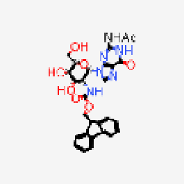 CC(=O)Nc1nc2c(ncn2[C@@H]2O[C@H](CO)[C@@H](O)[C@H](O)[C@H]2NC(=O)OCC2c3ccccc3-c3ccccc32)c(=O)[nH]1